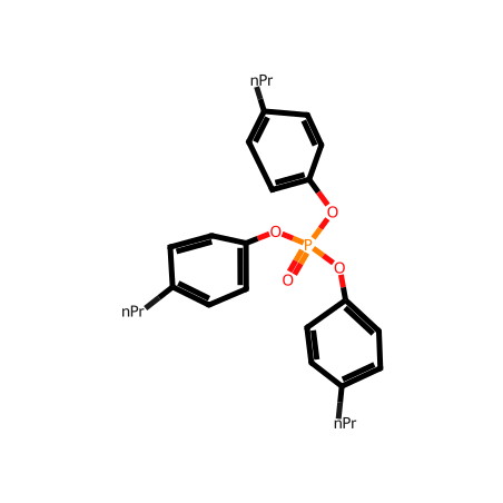 CCCc1ccc(OP(=O)(Oc2ccc(CCC)cc2)Oc2ccc(CCC)cc2)cc1